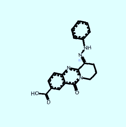 O=C(O)c1ccc2nc3n(c(=O)c2c1)CCC/C3=N\Nc1ccccc1